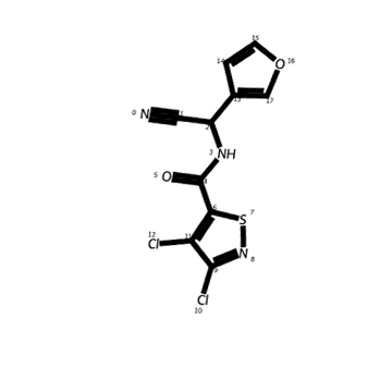 N#CC(NC(=O)c1snc(Cl)c1Cl)c1ccoc1